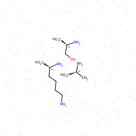 C[C@H](N)C(=O)O.NCCCC[C@H](N)C(=O)O.N[C@@H](CO)C(=O)O